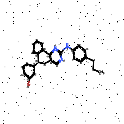 CCCc1ccc(Nc2ncc3c(n2)-c2ccccc2[C@H](c2cccc(Br)c2)C3)cc1